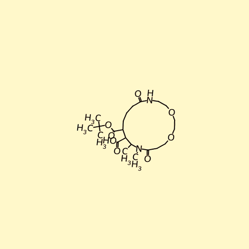 CC1C(C(=O)O)C(C(=O)OC(C)(C)C)CCCC(=O)NCCOCCOCCC(=O)N1C